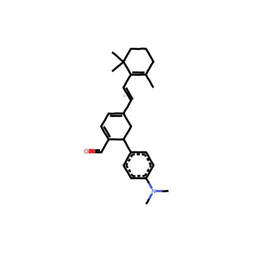 CC1=C(/C=C/C2=CC=C(C=O)C(c3ccc(N(C)C)cc3)C2)C(C)(C)CCC1